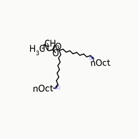 CCCCCCCC/C=C\CCCCCCCCC1(CCCCCCCC/C=C\CCCCCCCC)OC=C(CN(C)C)O1